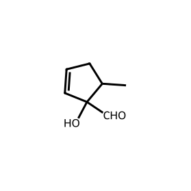 CC1CC=CC1(O)C=O